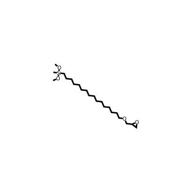 CO[Si](C)(CCCCCCCCCCCCCCCCOCC1CO1)OC